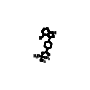 CC(C)(C)OC(=O)N1CCC(c2n[nH]c3nccc(Br)c23)CC1